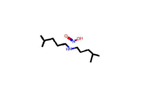 CC(C)CCCNCCCC(C)C.O=NO